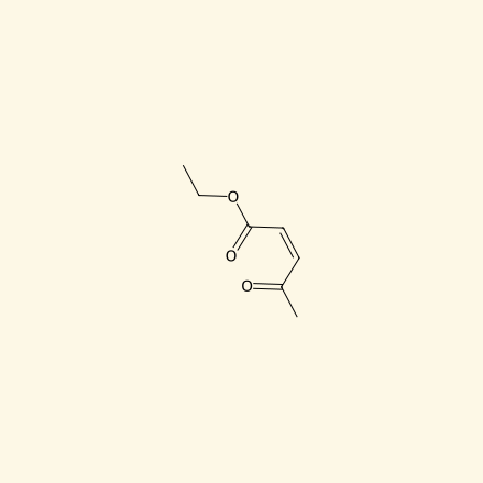 CCOC(=O)/C=C\C(C)=O